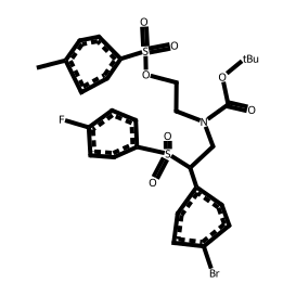 Cc1ccc(S(=O)(=O)OCCN(CC(c2ccc(Br)cc2)S(=O)(=O)c2ccc(F)cc2)C(=O)OC(C)(C)C)cc1